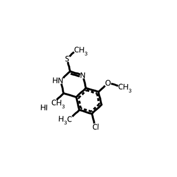 COc1cc(Cl)c(C)c2c1N=C(SC)NC2C.I